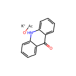 CC(=O)[O-].O=c1c2ccccc2[nH]c2ccccc12.[K+]